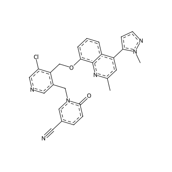 Cc1cc(-c2ccnn2C)c2cccc(OCc3c(Cl)cncc3Cn3cc(C#N)ccc3=O)c2n1